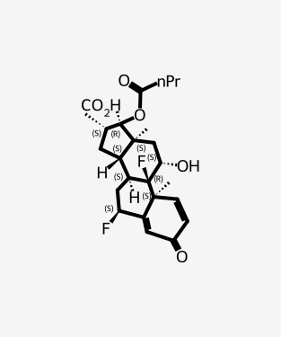 CCCC(=O)O[C@]1(C(=O)O)[C@@H](C)C[C@H]2[C@@H]3C[C@H](F)C4=CC(=O)C=C[C@]4(C)[C@@]3(F)[C@@H](O)C[C@@]21C